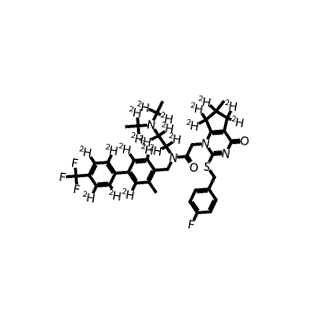 [2H]c1c([2H])c(-c2c([2H])c([2H])c(C(F)(F)F)c([2H])c2[2H])c([2H])c(C)c1CN(C(=O)Cn1c(SCc2ccc(F)cc2)nc(=O)c2c1C([2H])([2H])C([2H])(C)C2([2H])[2H])C([2H])([2H])C([2H])([2H])N(C([2H])([2H])C)C([2H])([2H])C